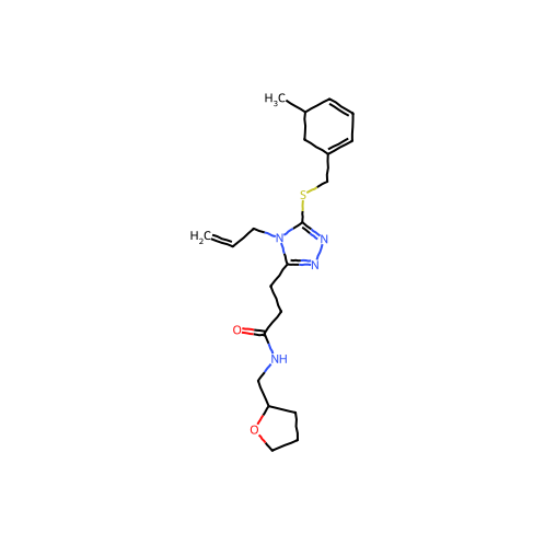 C=CCn1c(CCC(=O)NCC2CCCO2)nnc1SCC1=CC=CC(C)C1